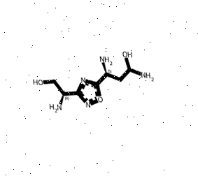 NC(O)C[C@H](N)c1nc([C@@H](N)CO)no1